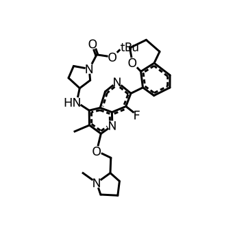 Cc1c(OCC2CCCN2C)nc2c(F)c(-c3cccc4c3OCCC4)ncc2c1NC1CCN(C(=O)OC(C)(C)C)C1